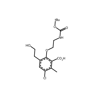 Cc1c(Cl)cc(CCO)c(OCCNC(=O)OC(C)(C)C)c1C(=O)O